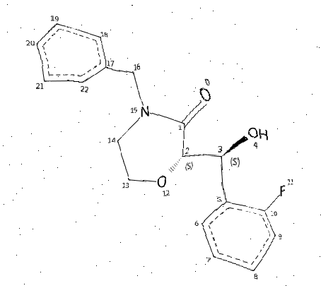 O=C1[C@H]([C@@H](O)c2ccccc2F)OCCN1Cc1ccccc1